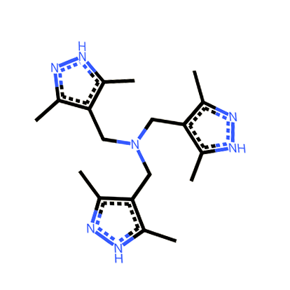 Cc1n[nH]c(C)c1CN(Cc1c(C)n[nH]c1C)Cc1c(C)n[nH]c1C